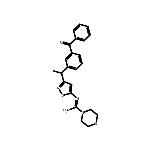 CC(c1cccc(C(=O)c2ccccc2)c1)c1cc(/N=C(\N)N2CCSCC2)on1